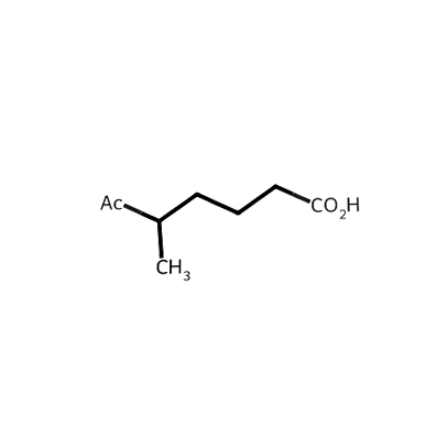 CC(=O)C(C)CCCC(=O)O